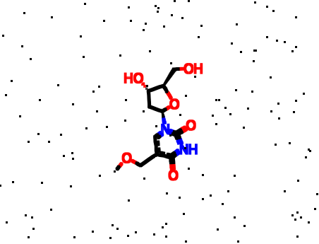 COCc1cn([C@H]2C[C@H](O)[C@@H](CO)O2)c(=O)[nH]c1=O